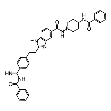 Cn1c(CCc2ccc(C(=N)NC(=O)c3ccccc3)cc2)nc2cc(C(=O)NN3CCC(NC(=O)c4ccccc4)CC3)ccc21